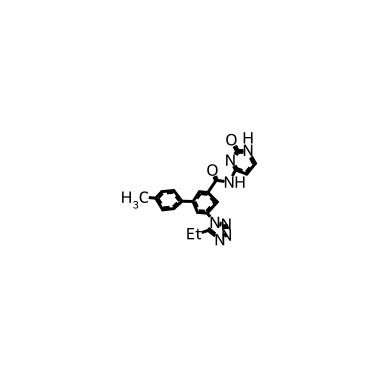 CCc1nnnn1-c1cc(C(=O)Nc2cc[nH]c(=O)n2)cc(-c2ccc(C)cc2)c1